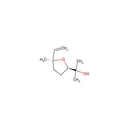 C=C[C@]1(C)CC[C@H](C(C)(C)O)O1